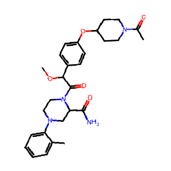 COC(C(=O)N1CCN(c2ccccc2C)CC1C(N)=O)c1ccc(OC2CCN(C(C)=O)CC2)cc1